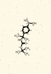 CC(C)(C)OC(=O)NC(C)(C)c1ccc(B(O)O)cc1